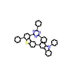 c1ccc(-c2nc(-c3ccccc3)nc(-c3ccc(-c4ccccc4)c4sc5ccc(-c6ccc7c(c6)c6ccccc6n7-c6ccccc6)cc5c34)n2)cc1